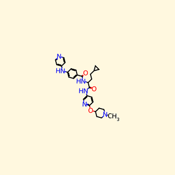 CN1CCC(Oc2ccc(NC(=O)C(CCC3CC3)NC(=O)c3ccc(Nc4ccncc4)cc3)cn2)CC1